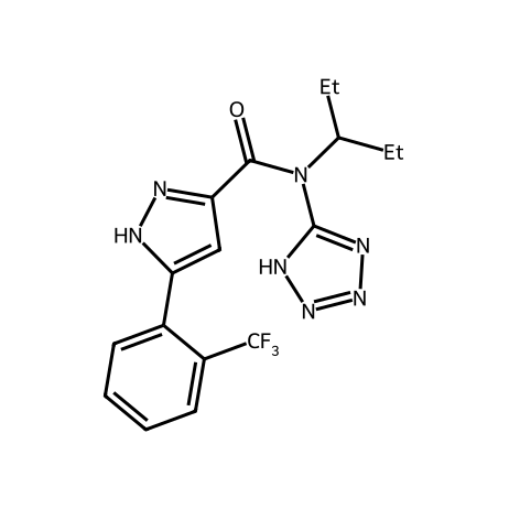 CCC(CC)N(C(=O)c1cc(-c2ccccc2C(F)(F)F)[nH]n1)c1nnn[nH]1